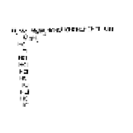 Cl.Cl.Cl.Cl.Cl.Cl.Cl.Cl.Cl.Cl.Cl.Cl.Cl.Cl.Cl.Cl.Cl.Cl.Cl.Cl.[MgH2].[MgH2].[MgH2]